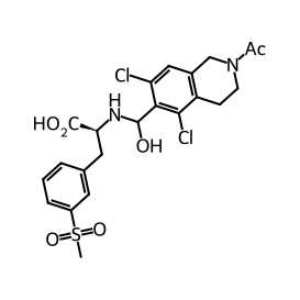 CC(=O)N1CCc2c(cc(Cl)c(C(O)N[C@@H](Cc3cccc(S(C)(=O)=O)c3)C(=O)O)c2Cl)C1